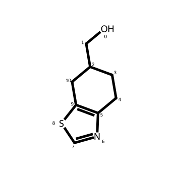 OCC1CCc2ncsc2C1